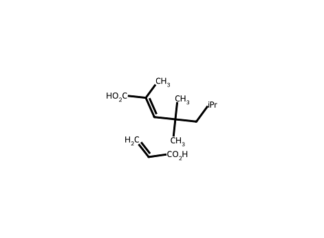 C=CC(=O)O.CC(=CC(C)(C)CC(C)C)C(=O)O